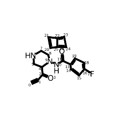 C#CC(=O)C1CNCCN1NC(=O)c1ccc(F)cc1.c1cc2ccc1-2